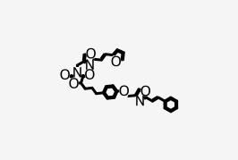 O=C1OC(CCCc2ccc(OCc3coc(/C=C/c4ccccc4)n3)cc2)C(=O)N1Cc1coc(/C=C/c2ccco2)n1